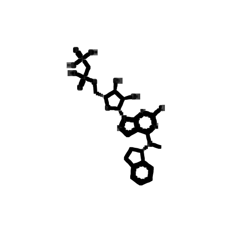 CN(c1nc(Cl)nc2c1cnn2[C@@H]1O[C@H](COP(=O)(O)CP(=O)(O)O)[C@@H](O)[C@H]1O)[C@H]1CCc2ccccc21